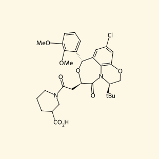 COc1cccc([C@H]2O[C@H](CC(=O)N3CCCC(C(=O)O)C3)C(=O)N3c4c(cc(Cl)cc42)OC[C@H]3C(C)(C)C)c1OC